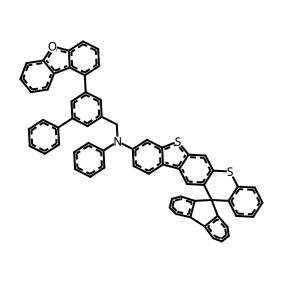 c1ccc(-c2cc(CN(c3ccccc3)c3ccc4c(c3)sc3cc5c(cc34)C3(c4ccccc4S5)c4ccccc4-c4ccccc43)cc(-c3cccc4oc5ccccc5c34)c2)cc1